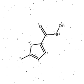 Cc1ccc(C(=O)NO)s1